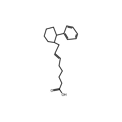 O=C(O)CCCCC=CCC1CCCCC1c1ccccc1